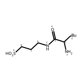 CCC(C)C(N)C(=O)NCCCS(=O)(=O)O